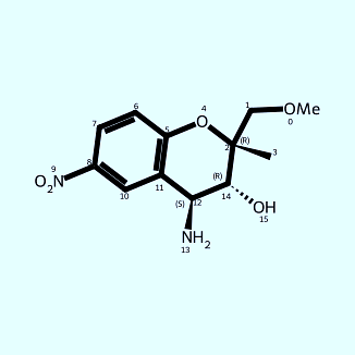 COC[C@@]1(C)Oc2ccc([N+](=O)[O-])cc2[C@H](N)[C@H]1O